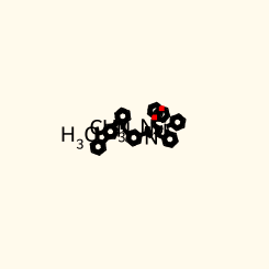 CC1(C)c2ccccc2-c2cc3c(cc21)c1ccccc1n3-c1cccc(-c2nc(-c3ccccc3)c3c(n2)-c2ccccc2[Si]3(c2ccccc2)c2ccccc2)c1